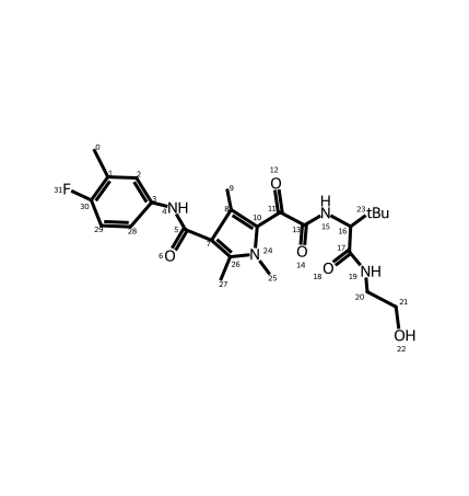 Cc1cc(NC(=O)c2c(C)c(C(=O)C(=O)NC(C(=O)NCCO)C(C)(C)C)n(C)c2C)ccc1F